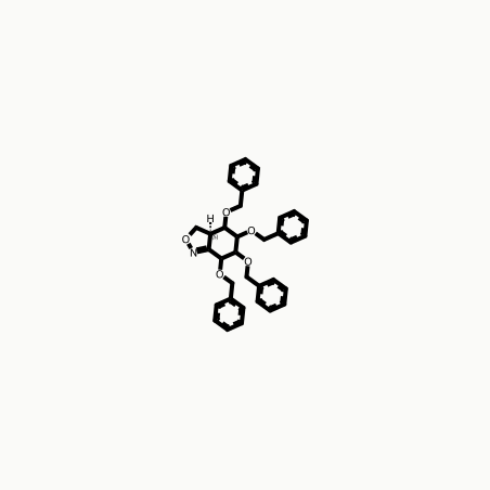 c1ccc(COC2C3=NOC[C@H]3C(OCc3ccccc3)C(OCc3ccccc3)C2OCc2ccccc2)cc1